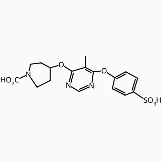 Cc1c(Oc2ccc(S(=O)(=O)O)cc2)ncnc1OC1CCN(C(=O)O)CC1